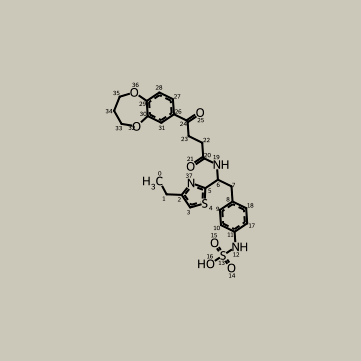 CCc1csc(C(Cc2ccc(NS(=O)(=O)O)cc2)NC(=O)CCC(=O)c2ccc3c(c2)OCCCO3)n1